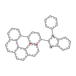 c1ccc(-n2c(-c3ccc(-c4cccc5ccc6ccc7ccccc7c6c45)cc3)nc3ccccc32)cc1